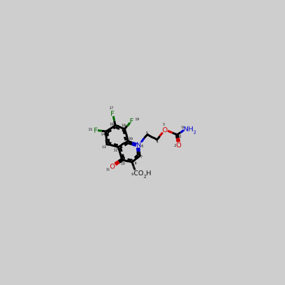 NC(=O)OCCn1cc(C(=O)O)c(=O)c2cc(F)c(F)c(F)c21